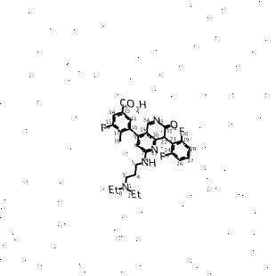 CCN(CC)CCCNc1cc(-c2cc(C(=O)O)cc(F)c2C)c2c(n1)C(c1c(F)cccc1F)C(=O)N=C2